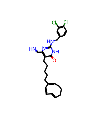 N=Cc1nc(NCc2ccc(Cl)c(Cl)c2)[nH]c(=O)c1CCCCCC1=C/CCC/C=C/C=C\1